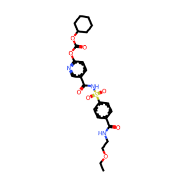 CCOCCNC(=O)c1ccc(S(=O)(=O)NC(=O)c2ccc(OC(=O)OC3CCCCC3)nc2)cc1